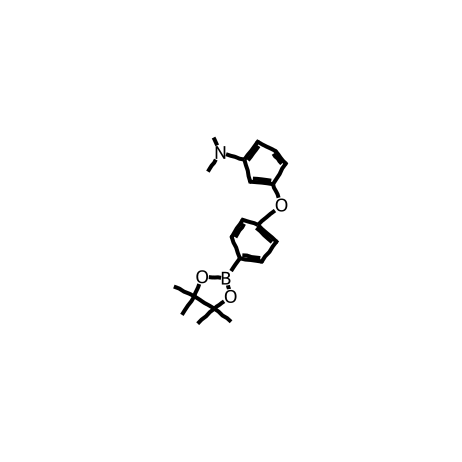 CN(C)c1cccc(Oc2ccc(B3OC(C)(C)C(C)(C)O3)cc2)c1